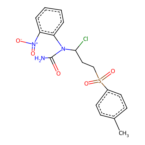 Cc1ccc(S(=O)(=O)CCC(Cl)N(C(N)=O)c2ccccc2[N+](=O)[O-])cc1